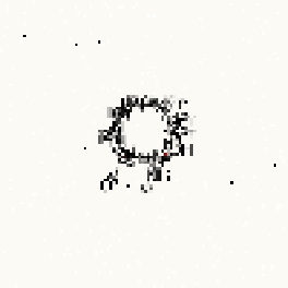 CC[C@@H]1NC(=O)[C@H]([C@H](O)[C@H](C)CCCCCNCc2ccccc2)N(C)C(=O)[C@H](C(C)C)N(C)C(=O)[C@H](CC(C)C)N(C)C(=O)[C@H](CC(C)C)N(C)C(=O)[C@@H](C)NC(=O)[C@H](C)NC(=O)[C@H](CC(C)C)N(C)C(=O)[C@H](C(C)C)NC(=O)[C@H]([C@@H](C)OCCCCN2CCOCC2)N(C)C(=O)[C@@H](C)N(C)C1=O